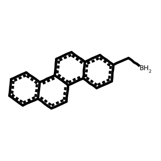 BCc1ccc2c(ccc3c4ccccc4ccc23)c1